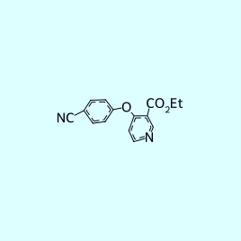 CCOC(=O)c1cnccc1Oc1ccc(C#N)cc1